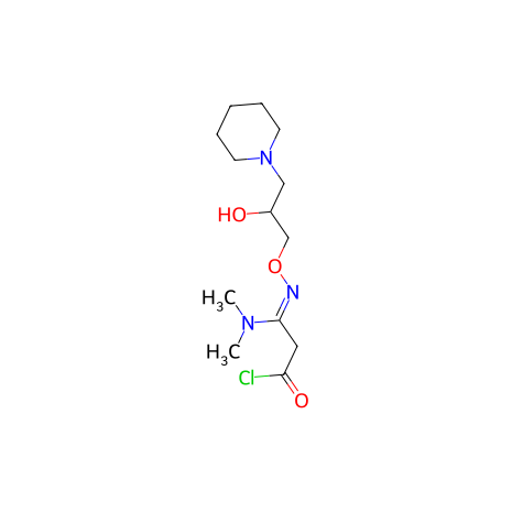 CN(C)C(CC(=O)Cl)=NOCC(O)CN1CCCCC1